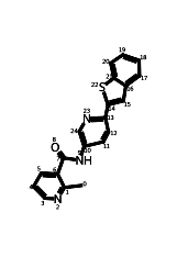 Cc1ncccc1C(=O)Nc1ccc(-c2cc3ccccc3s2)nc1